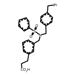 CC(C)Cc1ccc(CN(Cc2cccc(CCC(=O)O)c2)S(=O)(=O)c2ccccc2)cc1